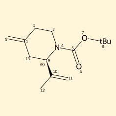 C=C1CCN(C(=O)OC(C)(C)C)[C@@H](C(=C)C)C1